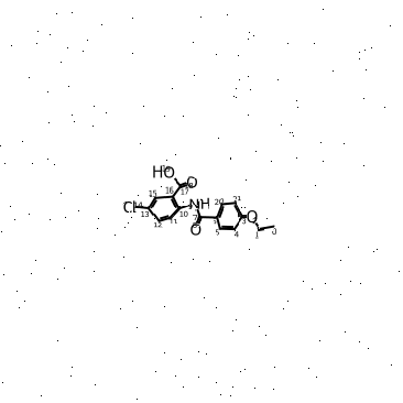 CCOc1ccc(C(=O)Nc2ccc(Cl)cc2C(=O)O)cc1